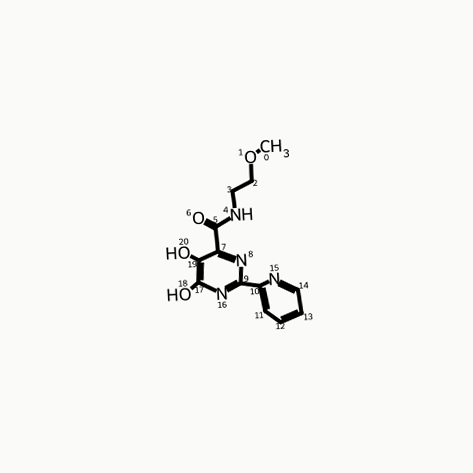 COCCNC(=O)c1nc(-c2ccccn2)nc(O)c1O